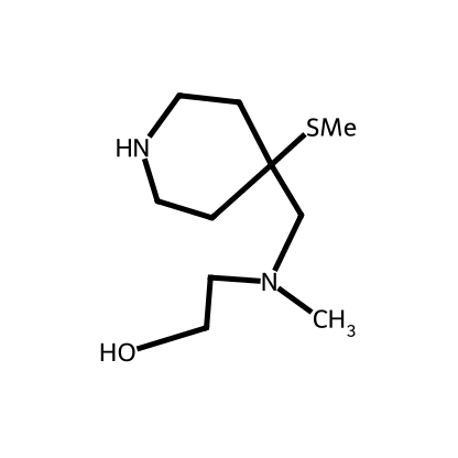 CSC1(CN(C)CCO)CCNCC1